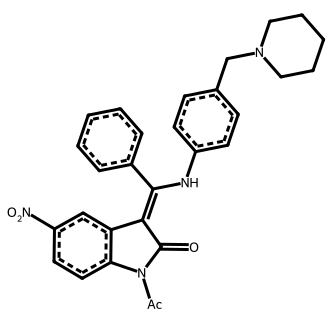 CC(=O)N1C(=O)/C(=C(\Nc2ccc(CN3CCCCC3)cc2)c2ccccc2)c2cc([N+](=O)[O-])ccc21